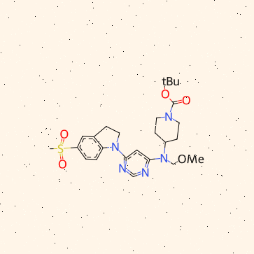 COCN(c1cc(N2CCc3cc(S(C)(=O)=O)ccc32)ncn1)C1CCN(C(=O)OC(C)(C)C)CC1